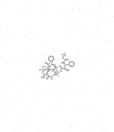 CC(=O)O[C@@]12CC[C@@H]1C[C@H](O)[C@@]1(C)C(=O)[C@H](C)C3=C(C)[C@@H](OC(=O)[C@H](O)[C@@H](NC(=O)OC(C)(C)C)c4ccccc4)C[C@@](O)([C@@H](OC(=O)c4ccccc4)[C@H]21)C3(C)C